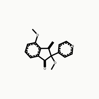 C=C1c2c(OC)cccc2C(=O)C1(OC)c1ccncc1